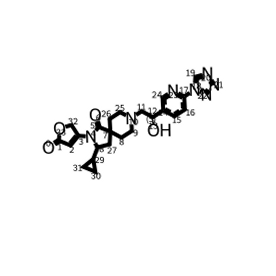 O=C1C=C(N2C(=O)C3(CCN(C[C@@H](O)c4ccc(-n5cnnn5)nc4)CC3)CC2C2CC2)CO1